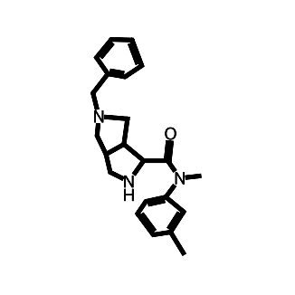 Cc1cccc(N(C)C(=O)C2NCC3CN(Cc4ccccc4)CC32)c1